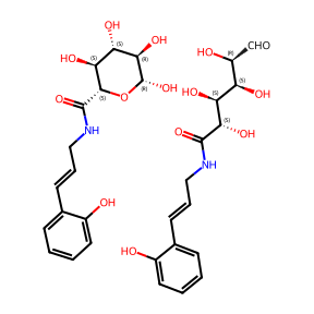 O=C(NCC=Cc1ccccc1O)[C@H]1O[C@@H](O)[C@H](O)[C@@H](O)[C@@H]1O.O=C[C@H](O)[C@@H](O)[C@H](O)[C@H](O)C(=O)NCC=Cc1ccccc1O